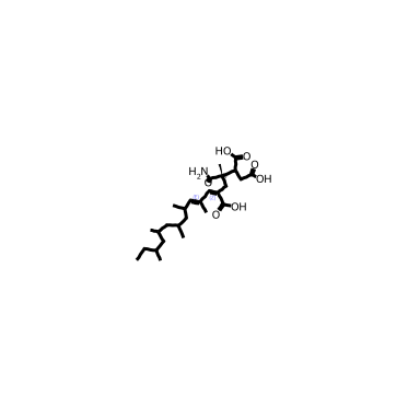 CCC(C)CC(C)CC(C)CC(C)/C=C(C)/C=C(/C[C@](C)(C(N)=O)C(CC(=O)O)C(=O)O)C(=O)O